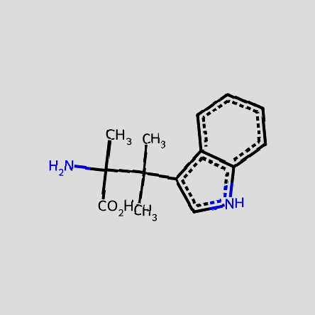 CC(N)(C(=O)O)C(C)(C)c1c[nH]c2ccccc12